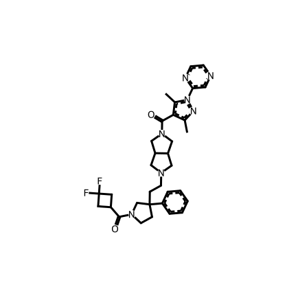 Cc1nn(-c2cnccn2)c(C)c1C(=O)N1CC2CN(CCC3(c4ccccc4)CCN(C(=O)C4CC(F)(F)C4)C3)CC2C1